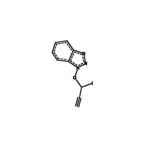 C#CC(I)On1nnc2ccccc21